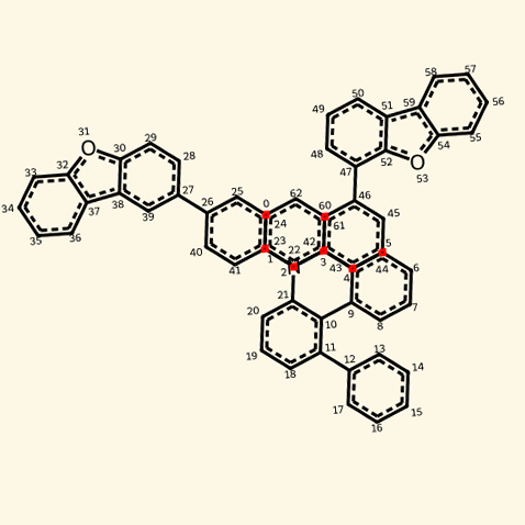 c1ccc(-c2ccccc2-c2c(-c3ccccc3)cccc2N(c2ccc(-c3ccc4oc5ccccc5c4c3)cc2)c2cccc(-c3cccc4c3oc3ccccc34)c2)cc1